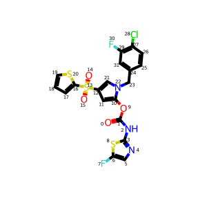 O=C(Nc1ncc(F)s1)Oc1cc(S(=O)(=O)c2cccs2)cn1Cc1ccc(Cl)c(F)c1